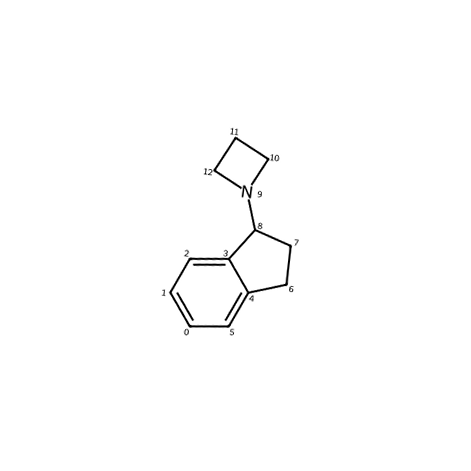 c1ccc2c(c1)CCC2N1CCC1